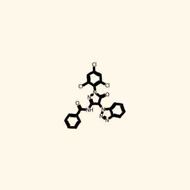 O=C(NC1=NN(c2c(Cl)cc(Cl)cc2Cl)C(=O)C1n1nnc2ccccc21)c1ccccc1